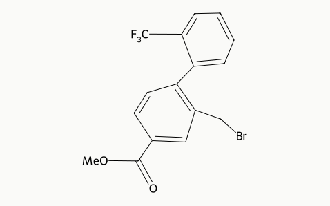 COC(=O)c1ccc(-c2ccccc2C(F)(F)F)c(CBr)c1